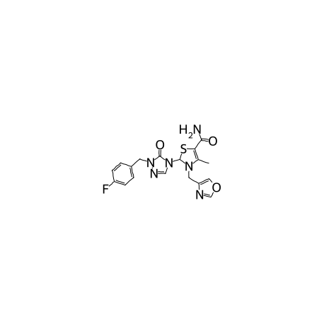 CC1=C(C(N)=O)SC(n2cnn(Cc3ccc(F)cc3)c2=O)N1Cc1cocn1